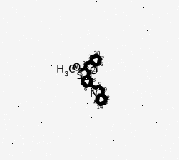 COC1Sc2ccc(-c3ccc4ccccc4n3)cc2C(=O)C1Cc1ccccc1